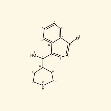 OC(c1ccc(Br)c2ccccc12)C1CCNCC1